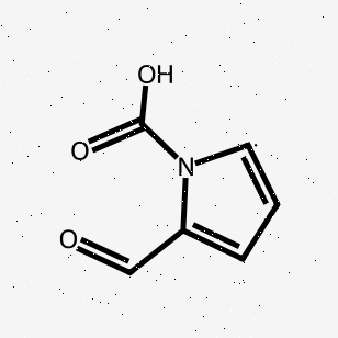 O=Cc1cc[c]n1C(=O)O